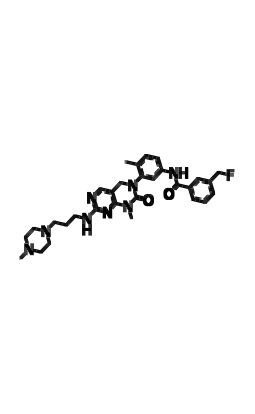 Cc1ccc(NC(=O)c2cccc(CF)c2)cc1N1Cc2cnc(NCCCN3CCN(C)CC3)nc2N(C)C1=O